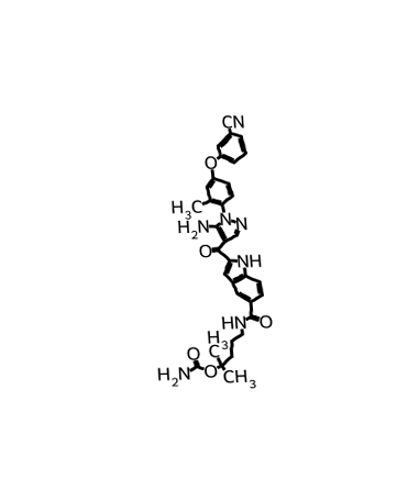 Cc1cc(Oc2cccc(C#N)c2)ccc1-n1ncc(C(=O)c2cc3cc(C(=O)NCCCC(C)(C)OC(N)=O)ccc3[nH]2)c1N